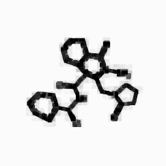 CC[C@H](NC(=O)c1c(CN2CCCC2=O)n(N)c(=O)c2ccccc12)c1ccccc1